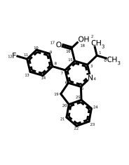 CC(C)c1nc2c(c(-c3ccc(F)cc3)c1C(=O)O)Cc1ccccc1-2